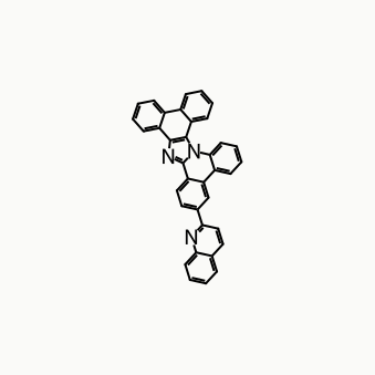 c1ccc2nc(-c3ccc4c(c3)c3ccccc3n3c4nc4c5ccccc5c5ccccc5c43)ccc2c1